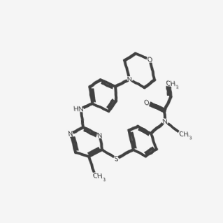 C=CC(=O)N(C)c1ccc(Sc2nc(Nc3ccc(N4CCOCC4)cc3)ncc2C)cc1